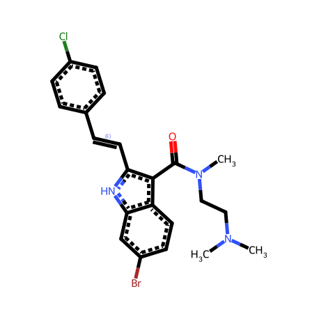 CN(C)CCN(C)C(=O)c1c(/C=C/c2ccc(Cl)cc2)[nH]c2cc(Br)ccc12